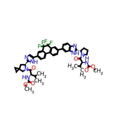 COC(=O)N[C@H](C(=O)N1CC2(CC2)C[C@H]1c1ncc(-c2ccc3c(c2)C(F)(F)C(F)(F)c2cc(-c4ccc5nc([C@@H]6CCCN6C(=O)[C@@H](NC(=O)OC)C(C)C)[nH]c5c4)ccc2-3)[nH]1)C(C)C